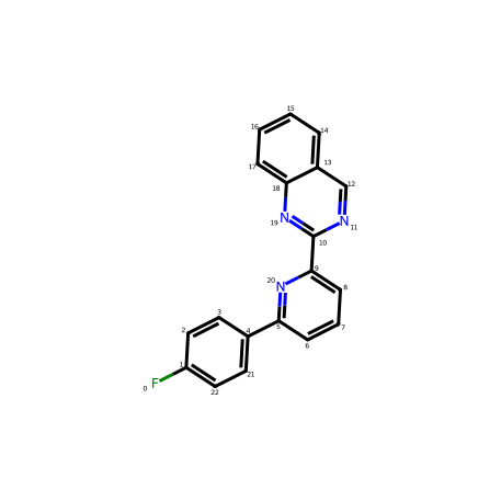 Fc1ccc(-c2cccc(-c3ncc4ccccc4n3)n2)cc1